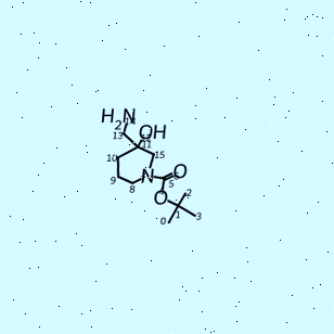 CC(C)(C)OC(=O)N1CCCC(O)(CN)C1